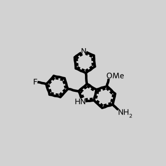 COc1cc(N)cc2[nH]c(-c3ccc(F)cc3)c(-c3ccncc3)c12